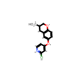 O=C(O)C1COc2ccc(Oc3ccnc(Cl)c3)cc2C1